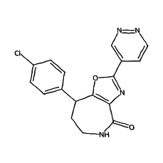 O=C1NCCC(c2ccc(Cl)cc2)c2oc(-c3ccnnc3)nc21